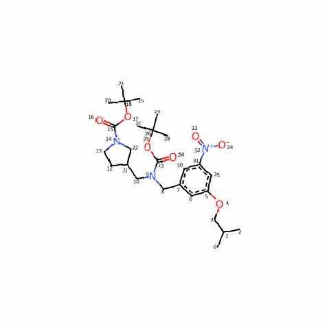 CC(C)COc1cc(CN(CC2CCN(C(=O)OC(C)(C)C)C2)C(=O)OC(C)(C)C)cc([N+](=O)[O-])c1